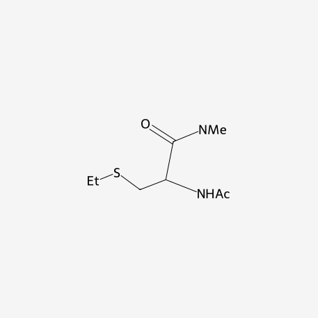 CCSCC(NC(C)=O)C(=O)NC